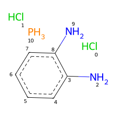 Cl.Cl.Nc1ccccc1N.P